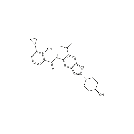 CN(C)c1cc2nn([C@H]3CC[C@H](O)CC3)cc2cc1NC(=O)c1cccc(C2CC2)[n+]1O